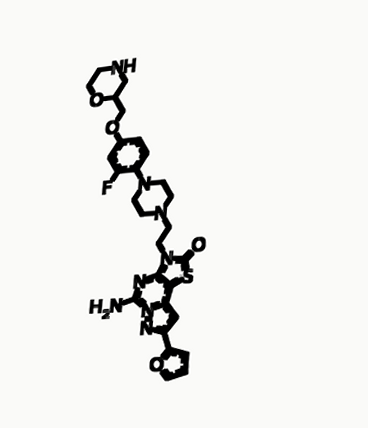 Nc1nc2c(sc(=O)n2CCN2CCN(c3ccc(OCC4CNCCO4)cc3F)CC2)c2cc(-c3ccco3)nn12